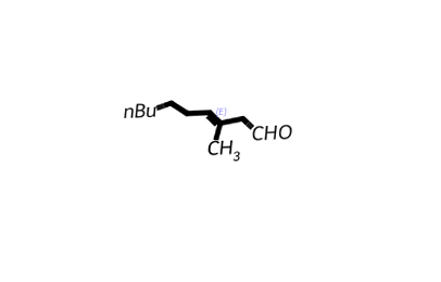 CCCCCC/C=C(\C)CC=O